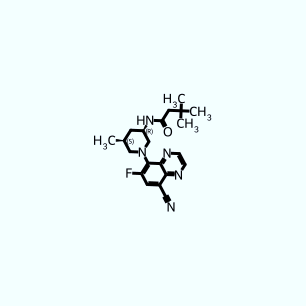 C[C@H]1C[C@@H](NC(=O)CC(C)(C)C)CN(c2c(F)cc(C#N)c3nccnc23)C1